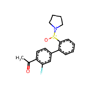 CC(=O)c1ccc(-c2ccccc2[S+]([O-])N2CCCC2)cc1F